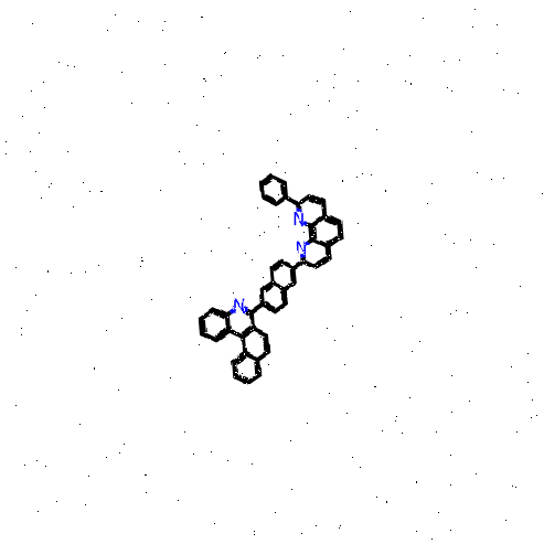 c1ccc(-c2ccc3ccc4ccc(-c5ccc6cc(-c7nc8ccccc8c8c7ccc7ccccc78)ccc6c5)nc4c3n2)cc1